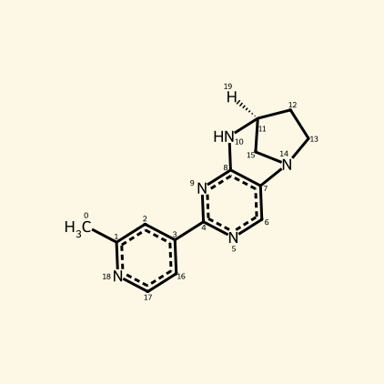 Cc1cc(-c2ncc3c(n2)N[C@H]2CCN3C2)ccn1